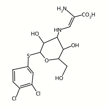 N/C(=C\NC1C(O)C(CO)OC(Sc2ccc(Cl)c(Cl)c2)C1O)C(=O)O